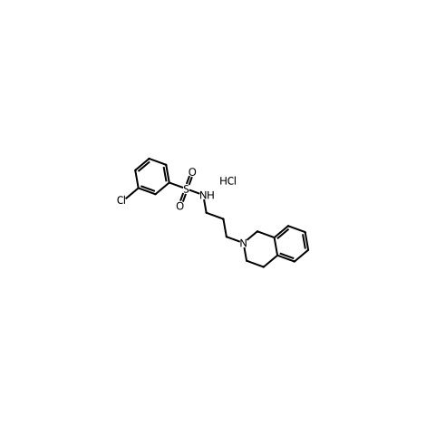 Cl.O=S(=O)(NCCCN1CCc2ccccc2C1)c1cccc(Cl)c1